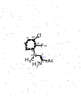 CC(=O)/C(N)=C/N(C)c1cccc(Cl)c1F